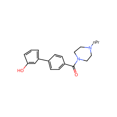 CCCN1CCN(C(=O)c2ccc(-c3cccc(O)c3)cc2)CC1